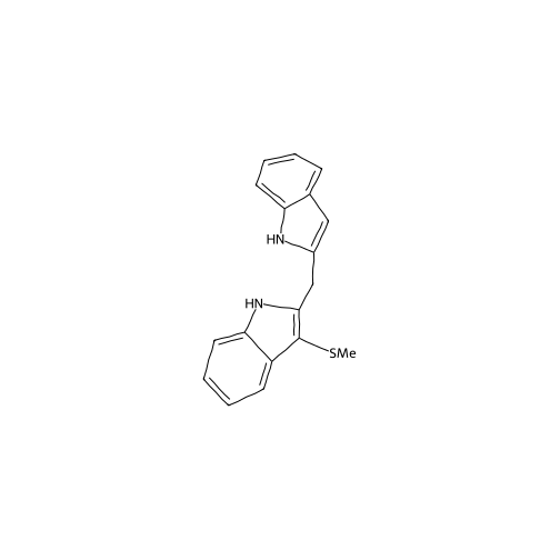 CSc1c(Cc2cc3ccccc3[nH]2)[nH]c2ccccc12